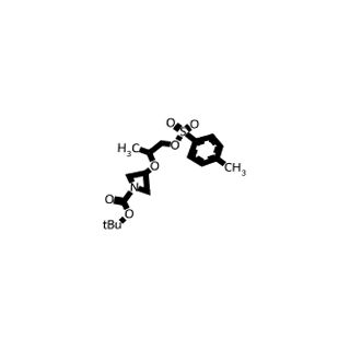 Cc1ccc(S(=O)(=O)OCC(C)OC2CN(C(=O)OC(C)(C)C)C2)cc1